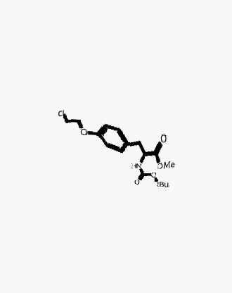 COC(=O)C(Cc1ccc(OCCCl)cc1)NC(=O)OC(C)(C)C